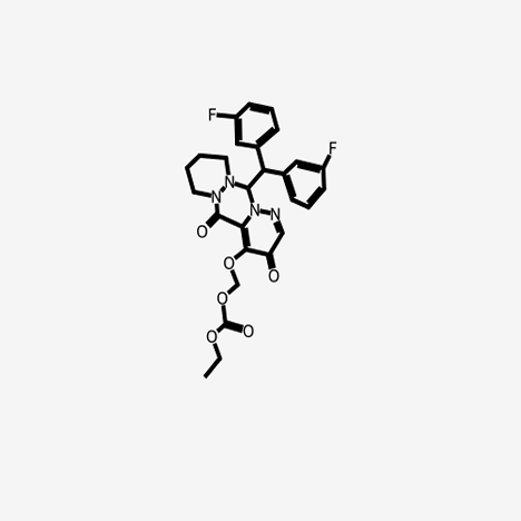 CCOC(=O)OCOc1c2n(ncc1=O)C(C(c1cccc(F)c1)c1cccc(F)c1)N1CCCCN1C2=O